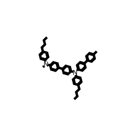 CCCCc1ccc(N(C)c2ccc(-c3ccc(N(c4ccc(CCCC)cc4)c4ccc(-c5ccc(C)cc5)cc4)cc3)cc2)cc1